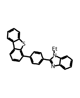 CCn1c(-c2ccc(-c3cccc4c3sc3ccccc34)cc2)nc2ccccc21